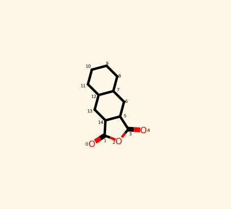 O=C1OC(=O)C2CC3CCCCC3CC12